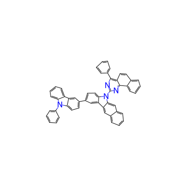 c1ccc(-c2nc(-n3c4ccc(-c5ccc6c(c5)c5ccccc5n6-c5ccccc5)cc4c4cc5ccccc5cc43)nc3c2ccc2ccccc23)cc1